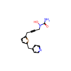 NC(=O)N(O)CC#CCc1ccc(Cc2ccncc2)s1